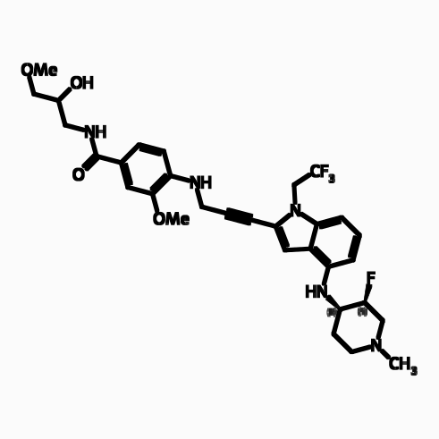 COCC(O)CNC(=O)c1ccc(NCC#Cc2cc3c(N[C@@H]4CCN(C)C[C@@H]4F)cccc3n2CC(F)(F)F)c(OC)c1